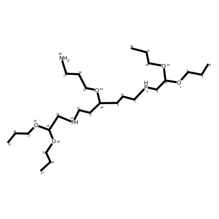 CCCOC(CPCCCC(CCPCC(OCCC)OCCC)OCCCN)OCCC